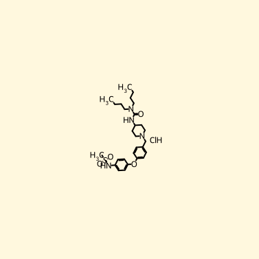 CCCCN(CCCC)C(=O)NC1CCN(Cc2ccc(Oc3ccc(NS(C)(=O)=O)cc3)cc2)CC1.Cl